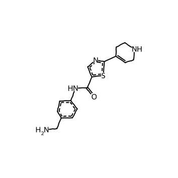 NCc1ccc(NC(=O)c2cnc(C3=CCNCC3)s2)cc1